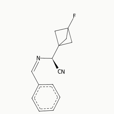 N#C[C@@H](/N=C\c1ccccc1)C12CC(F)(C1)C2